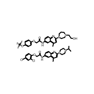 Cc1cc(N2CCCN(CCO)CC2)nc2ccc(NC(=O)COc3ccc(OC(F)(F)F)cc3)cc12.Cc1cc(N2CCN(C(C)C)CC2)nc2ccc(NC(=O)COc3ccc(Cl)cc3Cl)cc12